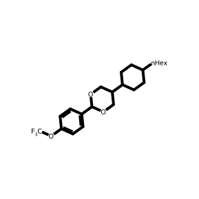 CCCCCCC1CCC(C2COC(c3ccc(OC(F)(F)F)cc3)OC2)CC1